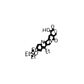 CCc1c2c(nc3ccc(O[Si](CC)(CC)CC)cc13)-c1cc3c(c(=O)n1C2)COC(=O)[C@H]3O